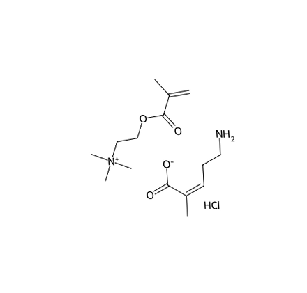 C=C(C)C(=O)OCC[N+](C)(C)C.CC(=CCCN)C(=O)[O-].Cl